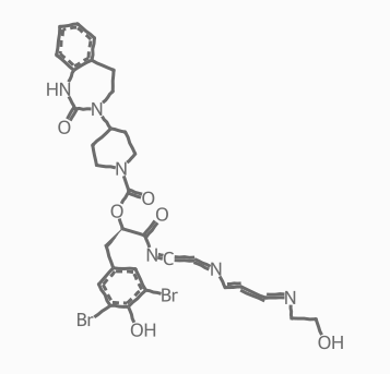 O=C(N=C=C=NC=C=C=NCCO)[C@@H](Cc1cc(Br)c(O)c(Br)c1)OC(=O)N1CCC(N2CCc3ccccc3NC2=O)CC1